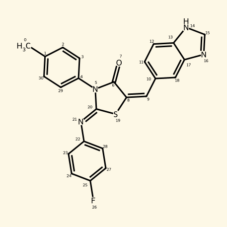 Cc1ccc(N2C(=O)C(=Cc3ccc4[nH]cnc4c3)SC2=Nc2ccc(F)cc2)cc1